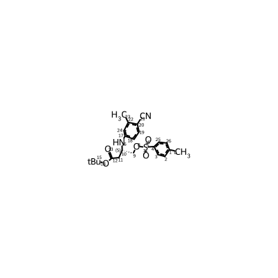 Cc1ccc(S(=O)(=O)OC[C@H](CC(=O)OC(C)(C)C)Nc2ccc(C#N)c(C)c2)cc1